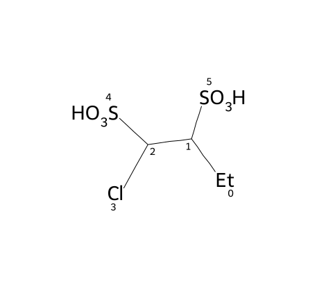 CCC(C(Cl)S(=O)(=O)O)S(=O)(=O)O